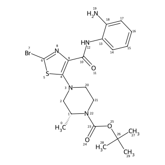 C[C@@H]1CN(c2sc(Br)nc2C(=O)Nc2ccccc2N)CCN1C(=O)OC(C)(C)C